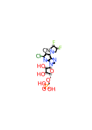 N#Cc1c(Cl)nc2c(ncn2[C@@H]2O[C@H](COCP(=O)(O)O)[C@@H](O)[C@H]2O)c1N1C[C@@H](F)[C@@H](F)C1